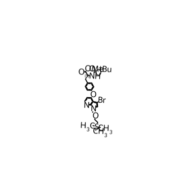 COC(=O)[C@H](Cc1ccc(Oc2ccnc3c2c(Br)cn3COCCS(C)(C)C)cc1)NC(=O)OC(C)(C)C